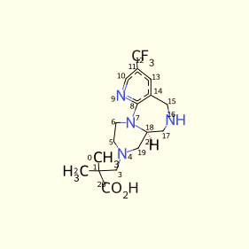 CC(C)(CN1CCN2c3ncc(C(F)(F)F)cc3CNC[C@H]2C1)C(=O)O